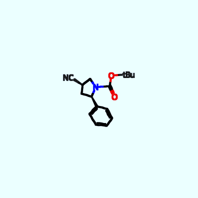 CC(C)(C)OC(=O)N1C[C@H](C#N)C[C@@H]1c1ccccc1